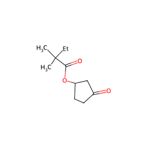 CCC(C)(C)C(=O)OC1CCC(=O)C1